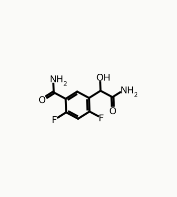 NC(=O)c1cc(C(O)C(N)=O)c(F)cc1F